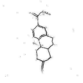 CC[C@@]12CCC(=O)CC1CCc1cc(C(=O)OC)ccc12